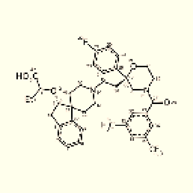 CCC(O[C@H]1Cc2ccccc2C12CCN(CC[C@]1(c3ccc(F)cc3)CN(C(=O)c3cc(C(F)(F)F)cc(C(F)(F)F)c3)CCO1)CC2)C(=O)O